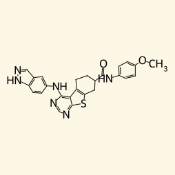 COc1ccc(NC(=O)C2CCc3c(sc4ncnc(Nc5ccc6[nH]ncc6c5)c34)C2)cc1